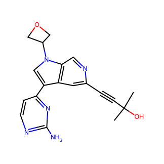 CC(C)(O)C#Cc1cc2c(-c3ccnc(N)n3)cn(C3COC3)c2cn1